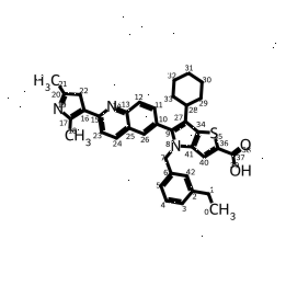 CCc1cccc(Cn2c(-c3ccc4nc(C5=C(C)N=C(C)C5)ccc4c3)c(C3CCCCC3)c3sc(C(=O)O)cc32)c1